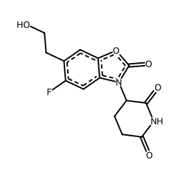 O=C1CCC(n2c(=O)oc3cc(CCO)c(F)cc32)C(=O)N1